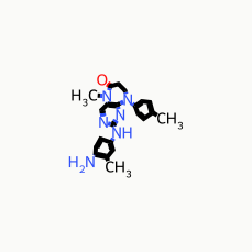 Cc1ccc(N2CCC(=O)N(C)c3cnc(Nc4ccc(N)c(C)c4)nc32)cc1